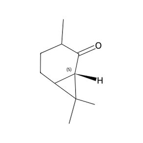 CC1CCC2[C@H](C1=O)C2(C)C